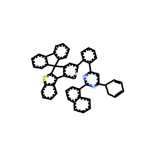 C1=CCC(c2cc(-c3ccccc3-c3ccc4c(c3)C3(c5ccccc5-c5ccccc53)c3sc5ccccc5c3-4)nc(-c3cccc4ccccc34)n2)C=C1